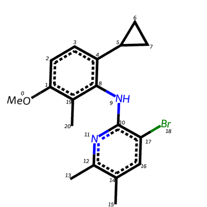 COc1ccc(C2CC2)c(Nc2nc(C)c(C)cc2Br)c1C